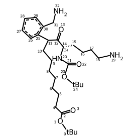 CC(C)(C)OC(=O)CCCCCCCC(C(=O)[C@H](CCCCN)NC(=O)OC(C)(C)C)c1ccccc1CN